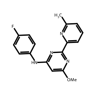 COc1cc(Nc2ccc(F)cc2)nc(-c2cccc(C)n2)n1